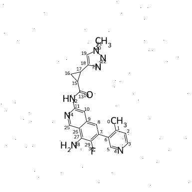 Cc1ccncc1-c1cc2cc(NC(=O)C3CC3c3cn(C)nn3)ncc2c(N)c1F